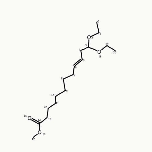 CCOC(C/C=C/CCCCCCCC(=O)OC)OCC